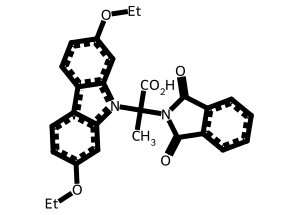 CCOc1ccc2c3ccc(OCC)cc3n(C(C)(C(=O)O)N3C(=O)c4ccccc4C3=O)c2c1